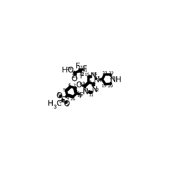 CS(=O)(=O)c1ccc(Oc2ncnc3c2cnn3C2CCNCC2)c(F)c1.O=C(O)C(F)(F)F